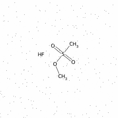 COS(C)(=O)=O.F